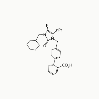 CCCc1c(F)n(CC2CCCCC2)c(=O)n1Cc1ccc(-c2ccccc2C(=O)O)cc1